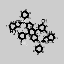 Cc1cc(C)cc(-c2c3ccc(N(c4ccccc4)c4nc5ccccc5s4)cc3c(-c3cc(C)cc(C)c3)c3ccc(N(c4ccccc4)c4nc5ccccc5s4)cc23)c1